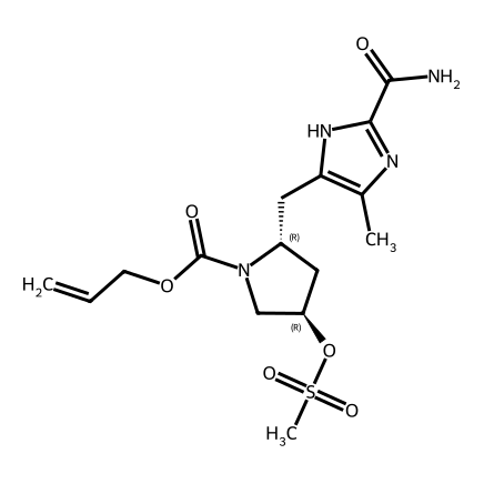 C=CCOC(=O)N1C[C@H](OS(C)(=O)=O)C[C@H]1Cc1[nH]c(C(N)=O)nc1C